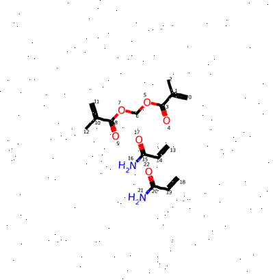 C=C(C)C(=O)OCOC(=O)C(=C)C.C=CC(N)=O.C=CC(N)=O